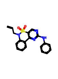 C=CCN1c2ccccc2-c2nc(Nc3ccccc3)ncc2S1(=O)=O